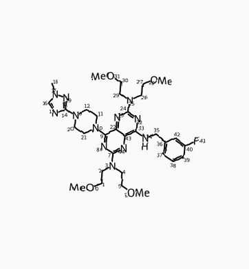 COCCN(CCOC)c1nc(N2CCN(c3ncn(C)n3)CC2)c2nc(N(CCOC)CCOC)nc(NCc3cccc(F)c3)c2n1